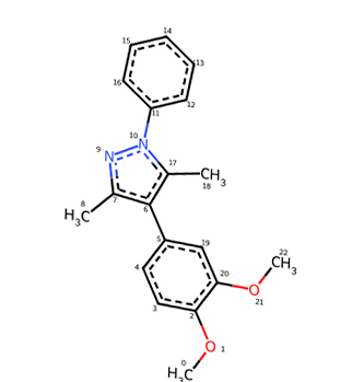 COc1ccc(-c2c(C)nn(-c3c[c]ccc3)c2C)cc1OC